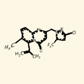 C=C(C)c1c(C)ccc2nc(Cn3nc(Cl)cc3C(F)(F)F)cc(=O)n12